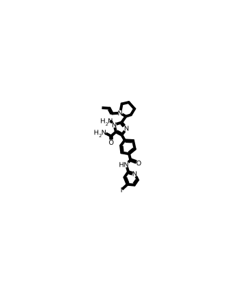 CC=CN1CCCCC1c1nc(-c2ccc(C(=O)Nc3cc(I)ccn3)cc2)c(C(N)=O)n1N